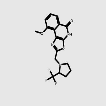 COc1cccc2c(=O)[nH]c3sc(CN4CCCC4C(F)(F)F)nc3c12